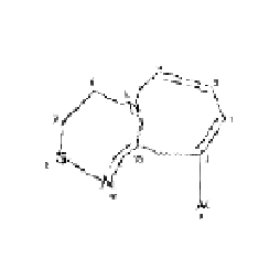 CC(=O)C1=CC=CN2CCSN=C12